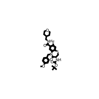 COc1ccc(CN2C(=O)[C@@H](NC(=O)OC(C)(C)C)CSc3cc(F)c(C(=O)NCC4CCOCC4)cc32)cc1